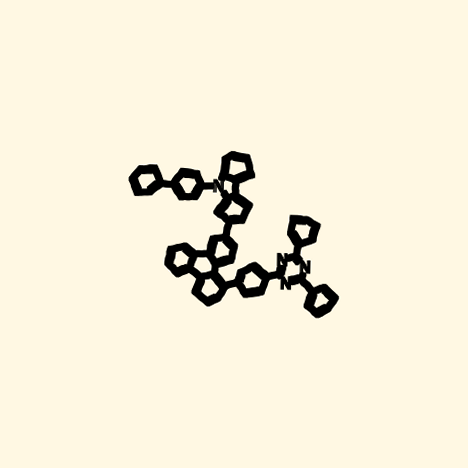 c1ccc(-c2ccc(-n3c4ccccc4c4ccc(-c5ccc6c(c5)c5ccccc5c5cccc(-c7ccc(-c8nc(-c9ccccc9)nc(-c9ccccc9)n8)cc7)c56)cc43)cc2)cc1